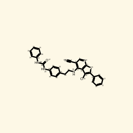 N#Cc1cnc2sc(-c3ccccc3)c(Cl)c2c1NCCc1ccc(NC(=O)Nc2ccccc2)cc1